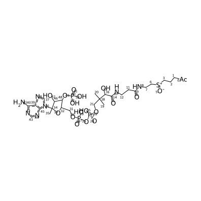 CC(=O)CCC[S+]([O-])CCNC(=O)CCNC(=O)C(O)C(C)(C)COP(=O)(O)OP(=O)(O)OCC1OC(C)(n2cnc3c(N)ncnc32)C(O)C1OP(=O)(O)O